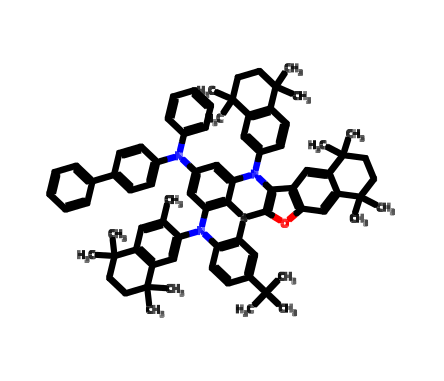 Cc1cc2c(cc1N1c3ccc(C(C)(C)C)cc3B3c4oc5cc6c(cc5c4N(c4ccc5c(c4)C(C)(C)CCC5(C)C)c4cc(N(c5ccccc5)c5ccc(-c7ccccc7)cc5)cc1c43)C(C)(C)CCC6(C)C)C(C)(C)CCC2(C)C